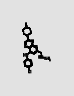 CN1CCN(c2cnc3c(Nc4ccc(Cl)cc4)cc(CNN)nc3n2)CC1